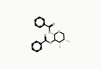 C[C@@H]1C(OC(=O)c2ccccc2)[C@H](OC(=O)c2ccccc2)OC[C@@H]1C